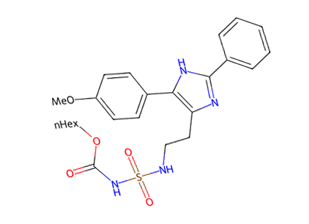 CCCCCCOC(=O)NS(=O)(=O)NCCc1nc(-c2ccccc2)[nH]c1-c1ccc(OC)cc1